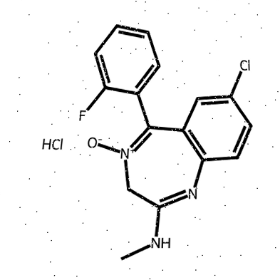 CNC1=Nc2ccc(Cl)cc2C(c2ccccc2F)=[N+]([O-])C1.Cl